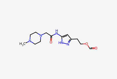 CN1CCN(CC(=O)Nc2cc(CCOC=O)n[nH]2)CC1